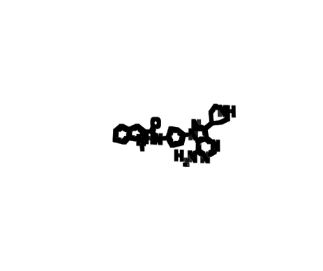 Cn1c(C(=O)Nc2ccc(-n3nc(C4CCNCC4)c4ncnc(N)c43)cc2)cc2ccccc21